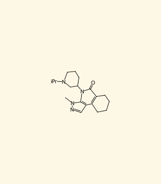 CC(C)N1CCCC(n2c(=O)c3c(c4cnn(C)c42)CCCC3)C1